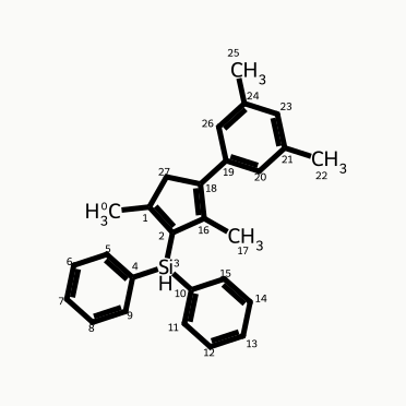 CC1=C([SiH](c2ccccc2)c2ccccc2)C(C)=C(c2cc(C)cc(C)c2)C1